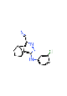 N#Cc1nnc(Nc2cccc(Cl)c2)c2c1C1CCC2CC1